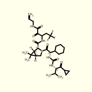 C=CCNC(=O)C(=O)C(CC(F)(F)F)NC(=O)[C@@H]1[C@@H]2[C@H](CN1C(=O)[C@@H](NC(=O)N[C@H](C(=O)C1CC1)C(C)C)C1CCCCC1)C2(C)C